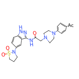 CC(=O)c1ccc(N2CCN(CC(=O)Nc3n[nH]c4ccc(N5CCCS5(=O)=O)cc34)CC2)cc1